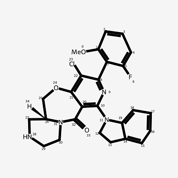 COc1cccc(F)c1-c1nc(N2CCc3ccccc32)c2c(c1Cl)OC[C@H]1CNCCN1C2=O